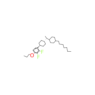 CCCCCCCC1CCC(C(C)[C@H]2CC[C@H](c3ccc(OCCC)c(F)c3F)CC2)CC1